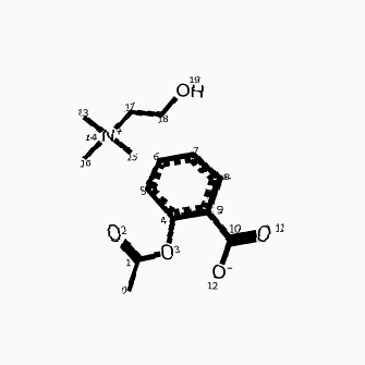 CC(=O)Oc1ccccc1C(=O)[O-].C[N+](C)(C)CCO